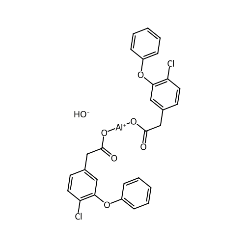 O=C(Cc1ccc(Cl)c(Oc2ccccc2)c1)[O][Al+][O]C(=O)Cc1ccc(Cl)c(Oc2ccccc2)c1.[OH-]